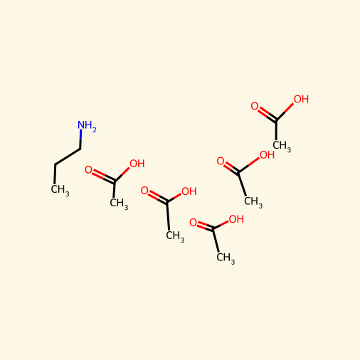 CC(=O)O.CC(=O)O.CC(=O)O.CC(=O)O.CC(=O)O.CCCN